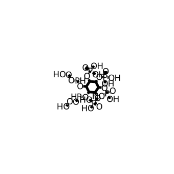 O=P(O)(O)OC1C(OPOOO)C(OPOOO)C(OP(=O)(O)O)C(OP(=O)(O)O)C1OP(=O)(O)O